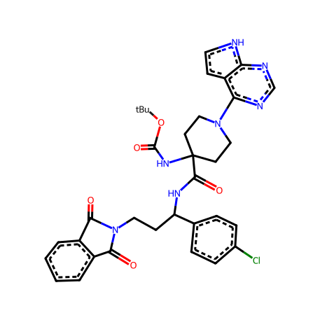 CC(C)(C)OC(=O)NC1(C(=O)NC(CCN2C(=O)c3ccccc3C2=O)c2ccc(Cl)cc2)CCN(c2ncnc3[nH]ccc23)CC1